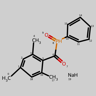 Cc1cc(C)c(C(=O)[PH](=O)c2ccccc2)c(C)c1.[NaH]